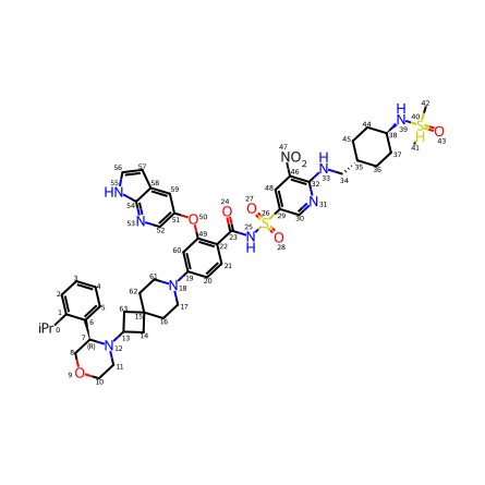 CC(C)c1ccccc1[C@@H]1COCCN1C1CC2(CCN(c3ccc(C(=O)NS(=O)(=O)c4cnc(NC[C@H]5CC[C@H](N[SH](C)(C)=O)CC5)c([N+](=O)[O-])c4)c(Oc4cnc5[nH]ccc5c4)c3)CC2)C1